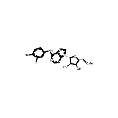 COC[C@H]1O[C@@H](n2cnc3c(Nc4ccc(O)c(Cl)c4)ncnc32)[C@H](O)[C@@H]1O